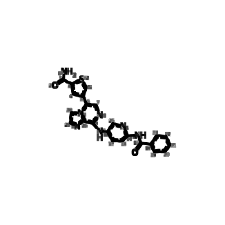 NC(=O)c1cc(-c2cnc(Nc3ccc(NC(=O)c4ccccc4)nc3)c3nccn23)cs1